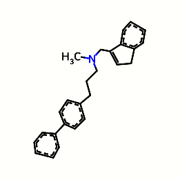 CN(CCCc1ccc(-c2ccccc2)cc1)CC1=CCc2ccccc21